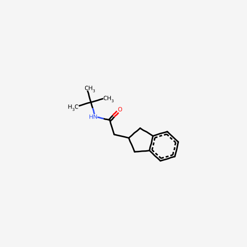 CC(C)(C)NC(=O)CC1Cc2ccccc2C1